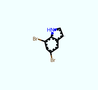 Brc1cc(Br)c2[nH]c[c]c2c1